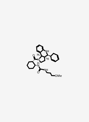 COCCCNC(=O)N[C@@H]1CCCC[C@@H]1C(=O)N1CC[C@@H]2[C@H](C3C=CC=CC3)Nc3ccccc3[C@@H]21